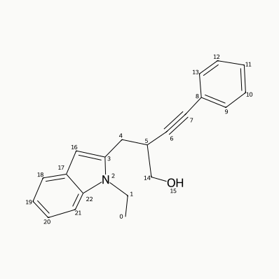 CCn1c(CC(C#Cc2ccccc2)CO)cc2ccccc21